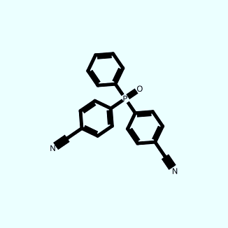 N#Cc1ccc(P(=O)(c2ccccc2)c2ccc(C#N)cc2)cc1